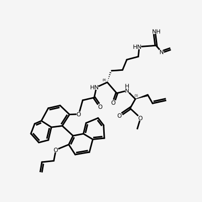 C=CCOc1ccc2ccccc2c1-c1c(OCC(=O)N[C@H](CCCCNC(=N)N=C)C(=O)N[C@@H](CC=C)C(=O)OC)ccc2ccccc12